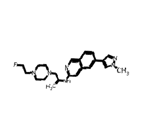 C=C(CN1CCN(CCF)CC1)Nc1cc2cc(-c3cnn(C)c3)ccc2cn1